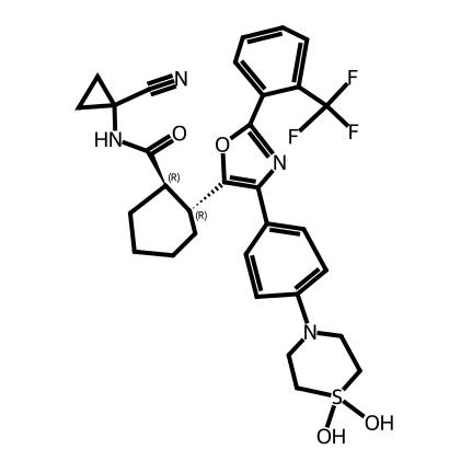 N#CC1(NC(=O)[C@@H]2CCCC[C@H]2c2oc(-c3ccccc3C(F)(F)F)nc2-c2ccc(N3CCS(O)(O)CC3)cc2)CC1